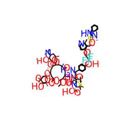 CC1(C)S[C@@H]2[C@H](NC(=O)[C@H](N)c3ccc(O)cc3)C(=O)N2[C@H]1C(=O)O.CC[C@H]1OC(=O)[C@H](C)[C@@H](O[C@H]2C[C@@](C)(OC)[C@@H](O)[C@H](C)O2)[C@H](C)[C@@H](O[C@@H]2O[C@H](C)C[C@H](N(C)C)[C@H]2O)[C@](C)(OC)C[C@@H](C)C(=O)[C@H](C)[C@@H](O)[C@]1(C)O.Cc1c(OCC(F)(F)F)ccnc1C[S+]([O-])c1nc2ccccc2[nH]1